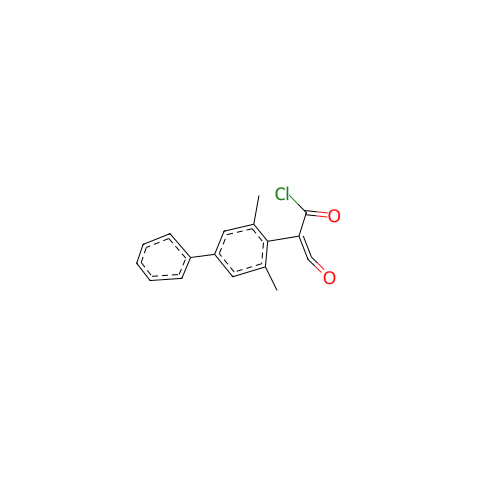 Cc1cc(-c2ccccc2)cc(C)c1C(=C=O)C(=O)Cl